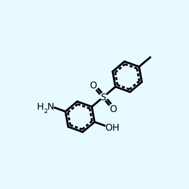 Cc1ccc(S(=O)(=O)c2cc(N)ccc2O)cc1